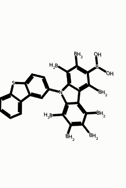 Bc1c(B)c(B)c2c(c1B)c1c(B)c(B(O)O)c(B)c(B)c1n2-c1ccc2sc3ccccc3c2c1